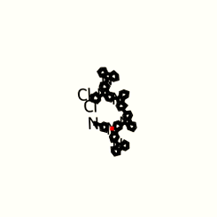 N#Cc1ccc(-n2c3ccc(-n4c5ccccc5c5ccccc54)cc3c3cc(-n4c5ccccc5c5ccc(-c6ccc7c(c6)c6ccccc6n7-c6ccc7c(c6)c6cc(-n8c9ccccc9c9ccccc98)ccc6n7-c6cc(Cl)cc(Cl)c6)cc54)ccc32)cc1